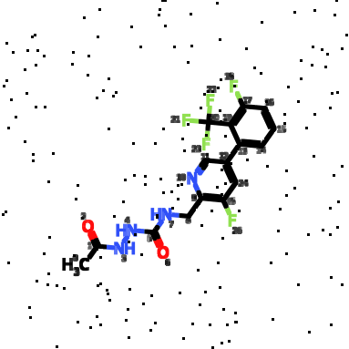 CC(=O)NNC(=O)NCc1ncc(-c2cccc(F)c2C(F)(F)F)cc1F